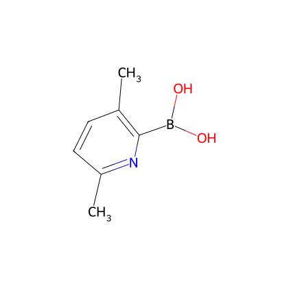 Cc1ccc(C)c(B(O)O)n1